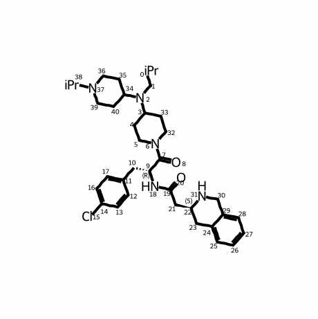 CC(C)CN(C1CCN(C(=O)[C@@H](Cc2ccc(Cl)cc2)NC(=O)C[C@@H]2Cc3ccccc3CN2)CC1)C1CCN(C(C)C)CC1